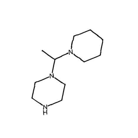 CC(N1CCCCC1)N1CCNCC1